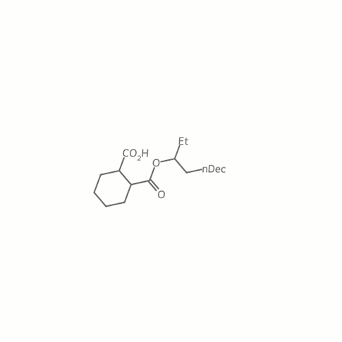 CCCCCCCCCCCC(CC)OC(=O)C1CCCCC1C(=O)O